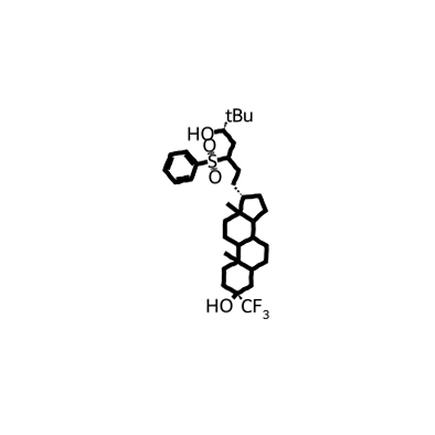 CC12CC[C@@](O)(C(F)(F)F)CC1CCC1C2CCC2(C)C1CC[C@H]2CCC(C[C@H](O)C(C)(C)C)S(=O)(=O)c1ccccc1